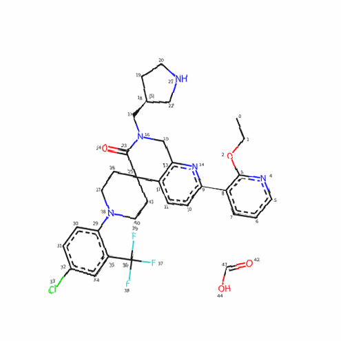 CCOc1ncccc1-c1ccc2c(n1)CN(C[C@H]1CCNC1)C(=O)C21CCN(c2ccc(Cl)cc2C(F)(F)F)CC1.O=CO